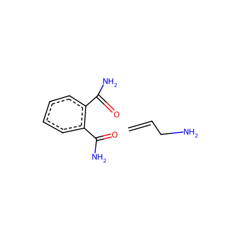 C=CCN.NC(=O)c1ccccc1C(N)=O